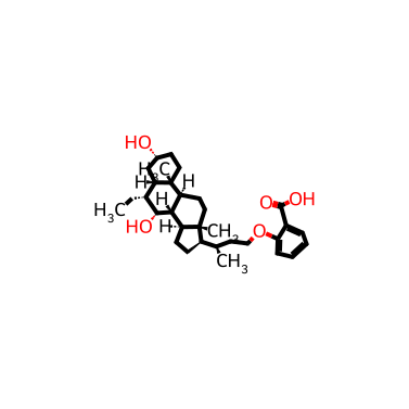 CC[C@H]1[C@@H](O)[C@@H]2[C@H](CC[C@]3(C)[C@@H]([C@H](C)CCOc4ccccc4C(=O)O)CC[C@@H]23)[C@@]2(C)CC[C@@H](O)C[C@@H]12